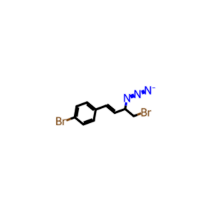 [N-]=[N+]=NC(C=Cc1ccc(Br)cc1)CBr